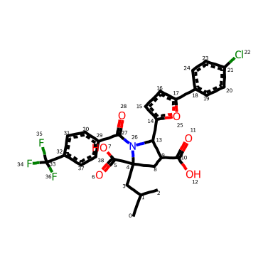 CC(C)CC1(C(=O)O)CC(C(=O)O)C(c2ccc(-c3ccc(Cl)cc3)o2)N1C(=O)c1ccc(C(F)(F)F)cc1